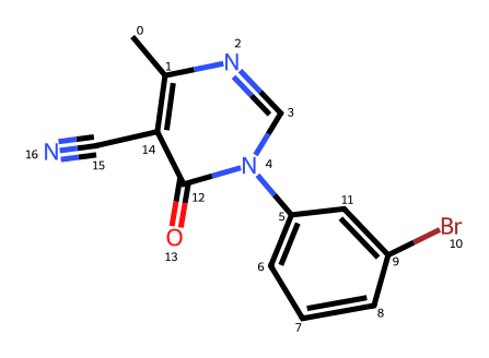 Cc1ncn(-c2cccc(Br)c2)c(=O)c1C#N